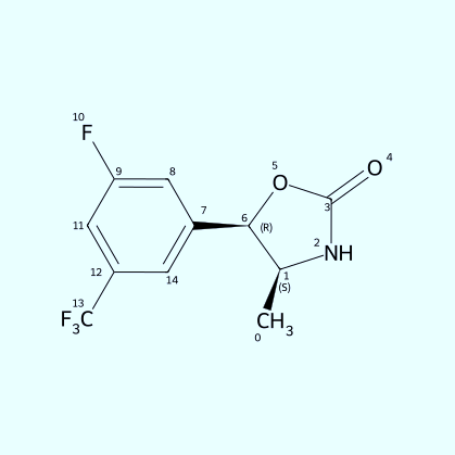 C[C@@H]1NC(=O)O[C@@H]1c1cc(F)cc(C(F)(F)F)c1